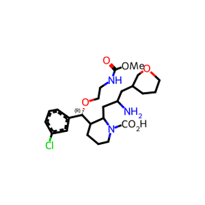 COC(=O)NCCO[C@@H](c1cccc(Cl)c1)C1CCCN(C(=O)O)C1CC(N)CC1CCCOC1